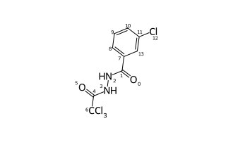 O=C(NNC(=O)C(Cl)(Cl)Cl)c1cccc(Cl)c1